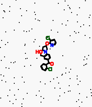 O=C(c1ccc(N2CC[C@H](Oc3ncccc3Cl)C2)c(CO)c1)c1ccccc1Cl